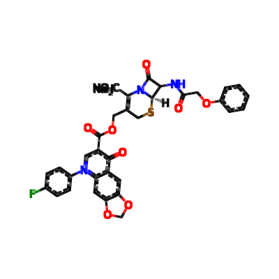 O=C(COc1ccccc1)NC1C(=O)N2C(C(=O)O)=C(COC(=O)c3cn(-c4ccc(F)cc4)c4cc5c(cc4c3=O)OCO5)CS[C@H]12.[NaH]